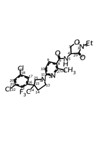 CCN1OCC(NC(=O)c2ccc(N3CCC(c4cc(Cl)cc(Cl)c4)(C(F)(F)F)C3)nc2C)C1=O